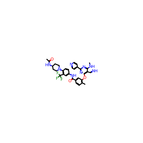 C\N=C(/N=C(NC)\C(C=N)=C\Oc1cc(C(=O)Nc2ccc(N3CCC(NC(C)=O)CC3)c(C(F)(F)F)c2)ccc1C)c1ccncc1